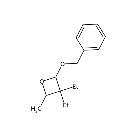 CCC1(CC)C(C)OC1OCc1ccccc1